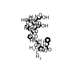 CC[C@H](C)[C@H](NC(=O)CNC(=O)[C@@H]1CCCN1C(=O)[C@H](Cc1c[nH]cn1)NC(=O)[C@H](CC(=O)O)NC(=O)[C@H](CC(=O)O)NC(=O)[C@@H](N)CC(=O)O)C(=O)N[C@@H](Cc1ccccc1)C(=O)O